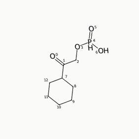 O=C(CO[PH](=O)O)C1CCCCC1